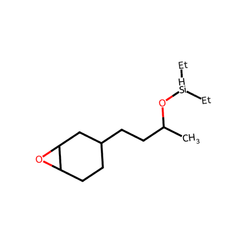 CC[SiH](CC)OC(C)CCC1CCC2OC2C1